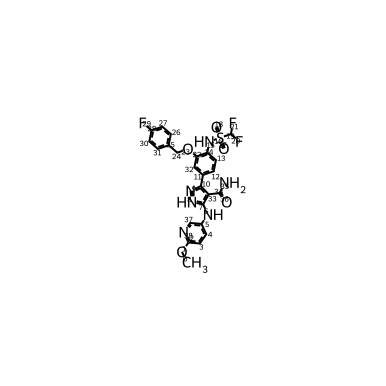 COc1ccc(Nc2[nH]nc(-c3ccc(NS(=O)(=O)C(F)F)c(OCc4ccc(F)cc4)c3)c2C(N)=O)cn1